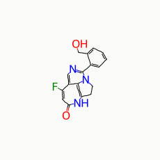 O=C1C=C(F)C2=CN=C(c3ccccc3CO)N3CCC(=C23)N1